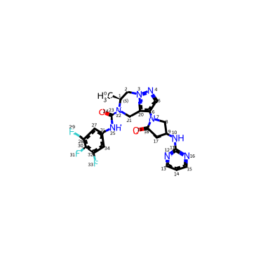 C[C@H]1Cn2ncc(N3CC(Nc4ncccn4)CC3=O)c2CN1C(=O)Nc1cc(F)c(F)c(F)c1